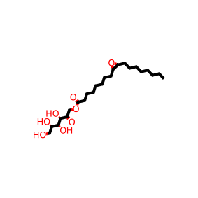 CCCCCCCCC1OC1CCCCCCCC(=O)OCC(=O)[C@H](O)[C@@H](O)[C@H](O)CO